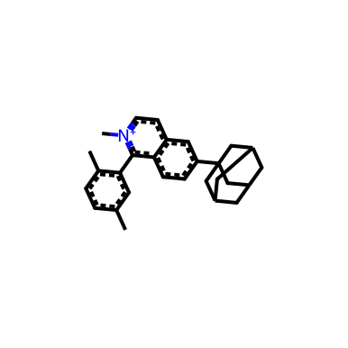 Cc1ccc(C)c(-c2c3ccc(C45CC6CC(CC(C6)C4)C5)cc3cc[n+]2C)c1